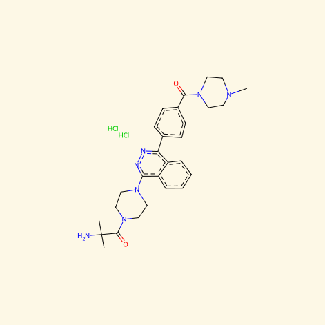 CN1CCN(C(=O)c2ccc(-c3nnc(N4CCN(C(=O)C(C)(C)N)CC4)c4ccccc34)cc2)CC1.Cl.Cl